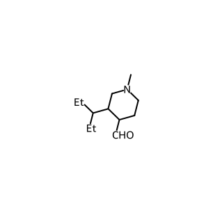 CCC(CC)C1CN(C)CCC1C=O